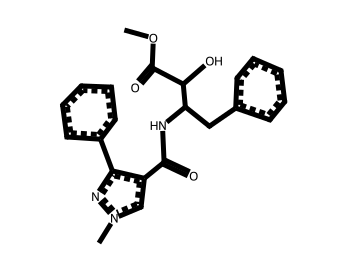 COC(=O)C(O)C(Cc1ccccc1)NC(=O)c1cn(C)nc1-c1ccccc1